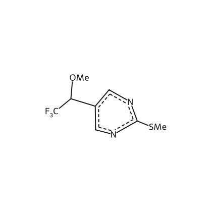 COC(c1cnc(SC)nc1)C(F)(F)F